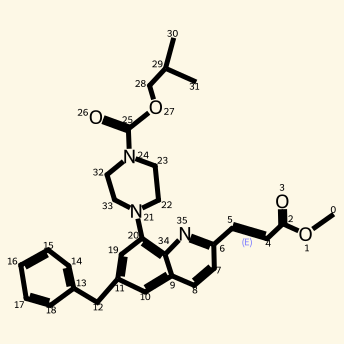 COC(=O)/C=C/c1ccc2cc(Cc3ccccc3)cc(N3CCN(C(=O)OCC(C)C)CC3)c2n1